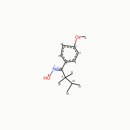 COc1ccc(/C(=N/O)C(C)(C)C(C)C)cc1